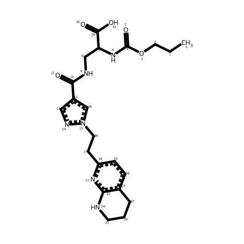 CCCOC(=O)NC(CNC(=O)c1cnn(CCc2ccc3c(n2)NCCC3)c1)C(=O)O